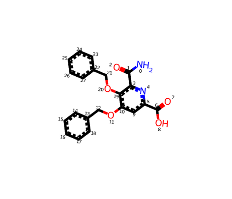 NC(=O)c1nc(C(=O)O)cc(OCc2ccccc2)c1OCc1ccccc1